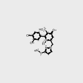 CCCOc1ccn(Cc2cc(=O)c(C(=O)O)c(-c3ccc(Cl)c(Cl)c3)n2CC)n1